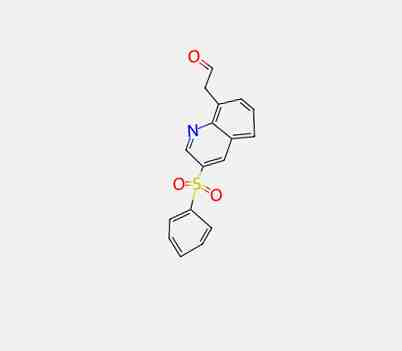 O=CCc1cccc2cc(S(=O)(=O)c3ccccc3)cnc12